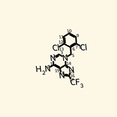 Nc1ncn(Cc2c(Cl)cccc2Cl)c2nc(C(F)(F)F)nc1-2